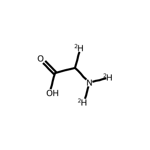 [2H]C(C(=O)O)N([2H])[2H]